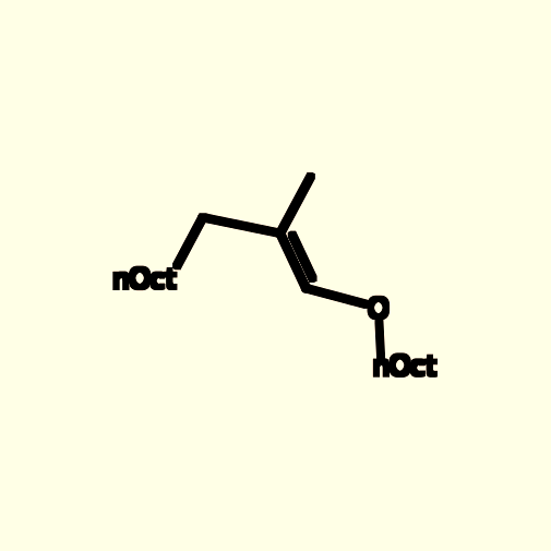 CCCCCCCCCC(C)=COCCCCCCCC